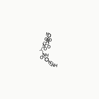 CC(CCNC(=O)c1ccc(N2CCNCC2)cc1)CC(=O)N1CCC2C1C(=O)CN2S(=O)(=O)c1cccnc1